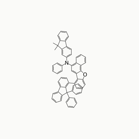 CC1(C)c2ccccc2-c2ccc(N(c3ccccc3)c3cc4c(oc5cccc(-c6cccc7c6C(c6ccccc6)(c6ccccc6)c6ccccc6-7)c54)c4ccccc34)cc21